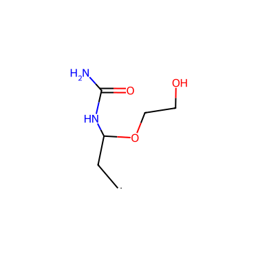 [CH2]CC(NC(N)=O)OCCO